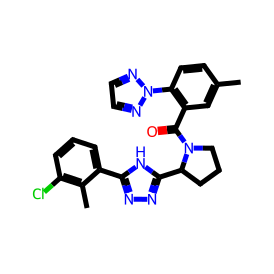 Cc1ccc(-n2nccn2)c(C(=O)N2CCCC2c2nnc(-c3cccc(Cl)c3C)[nH]2)c1